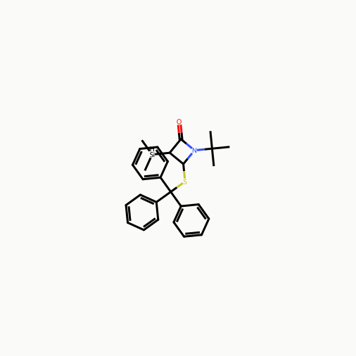 C[SiH](C)C1C(=O)N(C(C)(C)C)C1SC(c1ccccc1)(c1ccccc1)c1ccccc1